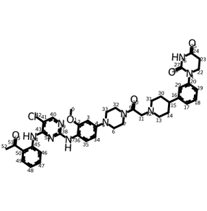 COc1cc(N2CCN(C(=O)CN3CCC(c4cccc(N5CCC(=O)NC5=O)c4)CC3)CC2)ccc1Nc1ncc(Cl)c(Nc2ccccc2C(C)=O)n1